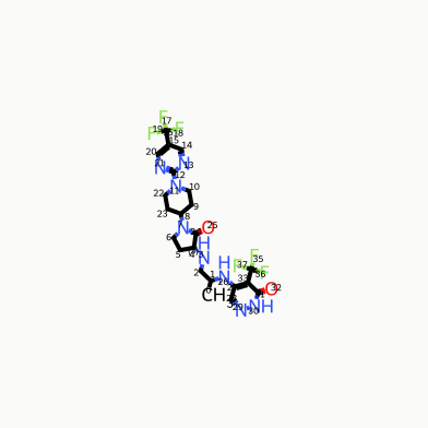 CC(CN[C@H]1CCN(C2CCN(c3ncc(C(F)(F)F)cn3)CC2)C1=O)Nc1cn[nH]c(=O)c1C(F)(F)F